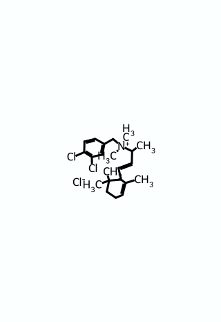 CC1=CCCC(C)(C)C1/C=C/C(C)[N+](C)(C)Cc1ccc(Cl)c(Cl)c1.[Cl-]